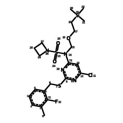 Cc1cccc(CSc2nc(Cl)cc(N(COCC[Si](C)(C)C)S(=O)(=O)N3CCC3)n2)c1F